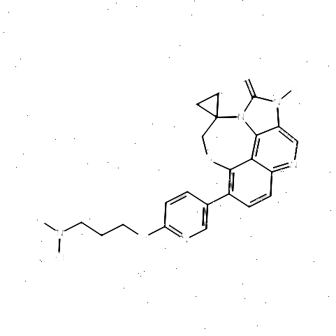 CN(C)CCCOc1ccc(-c2ccc3ncc4c5c3c2OCC2(CC2)n5c(=O)n4C)cn1